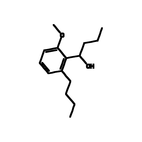 CCCCc1cccc(OC)c1C(O)CCC